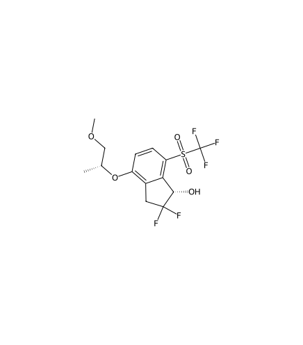 COC[C@@H](C)Oc1ccc(S(=O)(=O)C(F)(F)F)c2c1CC(F)(F)[C@H]2O